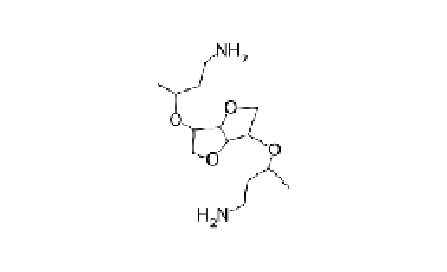 CC(CCN)OC1COC2C(OC(C)CCN)COC12